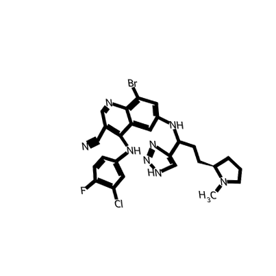 CN1CCC[C@@H]1CCC(Nc1cc(Br)c2ncc(C#N)c(Nc3ccc(F)c(Cl)c3)c2c1)c1c[nH]nn1